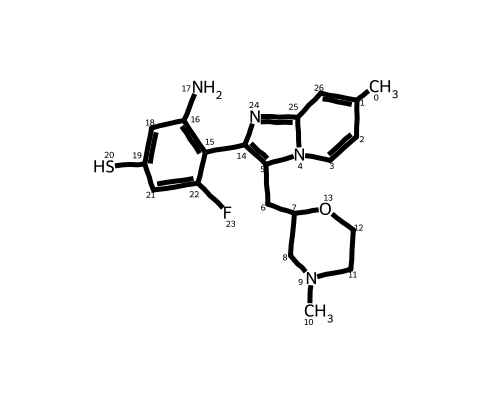 Cc1ccn2c(CC3CN(C)CCO3)c(-c3c(N)cc(S)cc3F)nc2c1